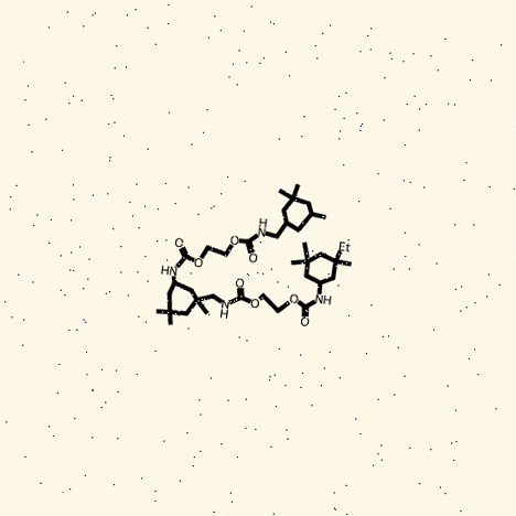 CCC1(C)CC(NC(=O)OCCOC(=O)NCC2(C)CC(NC(=O)OCCOC(=O)NCC3CC(C)CC(C)(C)C3)CC(C)(C)C2)CC(C)(C)C1